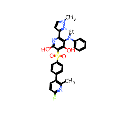 CCN(c1ccccc1)c1c(-c2ccn(C)n2)nc(O)c(S(=O)(=O)c2ccc(-c3ccc(F)nc3C)cc2)c1O